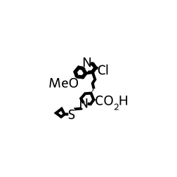 COc1ccc2ncc(Cl)c(CCC[C@H]3CCN(CCSC4CCC4)C[C@H]3C(=O)O)c2c1